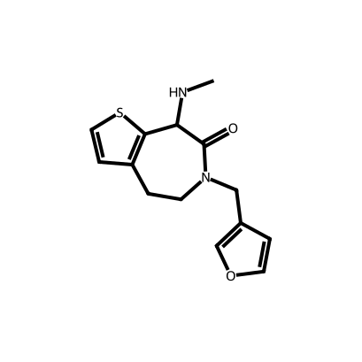 CNC1C(=O)N(Cc2ccoc2)CCc2ccsc21